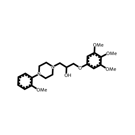 COc1ccccc1N1CCN(CC(O)COc2cc(OC)c(OC)c(OC)c2)CC1